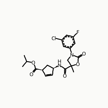 CC(C)OC(=O)[C@@H]1C=C[C@H](NC(=O)C2(C)CN(c3cc(F)cc(Cl)c3)C(=O)O2)C1